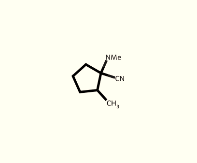 CNC1(C#N)CCCC1C